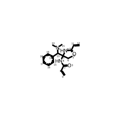 C=CC(=O)NC(CC)(NC(=O)C=C)C(c1ccccc1)N(C)C